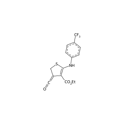 CCOC(=O)C1=C(Nc2ccc(C(F)(F)F)cc2)SCC1=C=O